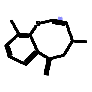 C=C1CC(C)/C=C\Sc2c(C)cccc21